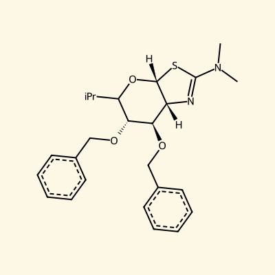 CC(C)C1O[C@@H]2SC(N(C)C)=N[C@@H]2[C@@H](OCc2ccccc2)[C@@H]1OCc1ccccc1